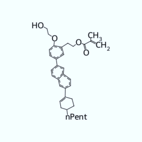 C=C(C)C(=O)OCCc1cc(-c2ccc3cc(C4=CCC(CCCCC)CC4)ccc3c2)ccc1OCCO